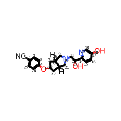 N#Cc1ccc(O[C@H]2C[C@@H]3CN(CC(O)c4ccc(O)cn4)C[C@@H]3C2)cc1